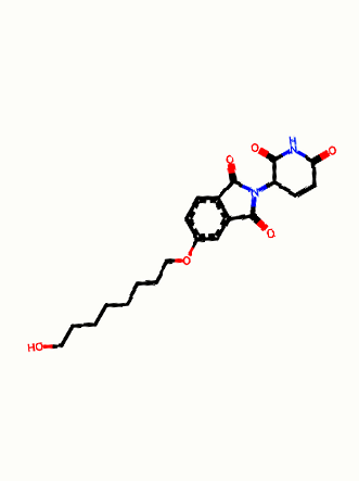 O=C1CCC(N2C(=O)c3ccc(OCCCCCCCCO)cc3C2=O)C(=O)N1